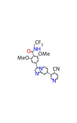 COc1cc(-c2cnc3cc(-c4cnccc4C#N)ccn23)cc(OC)c1C(=O)NCC(F)(F)F